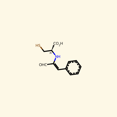 O=CC(=Cc1ccccc1)N[C@@H](CS)C(=O)O